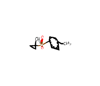 Cc1ccc(S(=O)(=O)C2(C)CC2)cc1